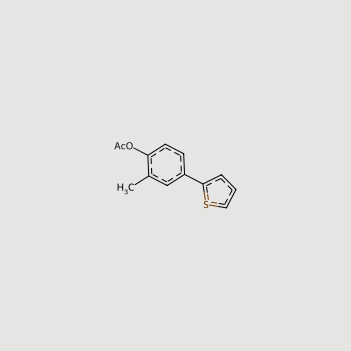 CC(=O)Oc1ccc(-c2cccs2)cc1C